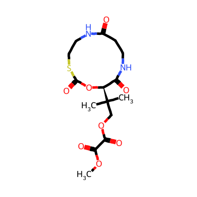 COC(=O)C(=O)OCC(C)(C)[C@H]1OC(=O)SCCNC(=O)CCNC1=O